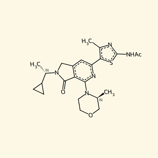 CC(=O)Nc1nc(C)c(-c2cc3c(c(N4CCOC[C@@H]4C)n2)C(=O)N([C@@H](C)C2CC2)C3)s1